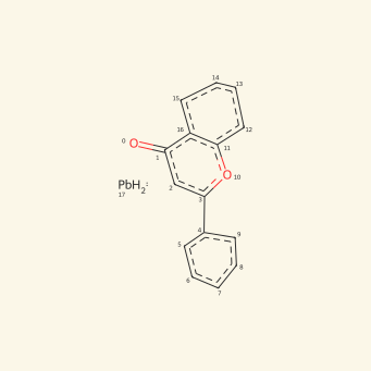 O=c1cc(-c2ccccc2)oc2ccccc12.[PbH2]